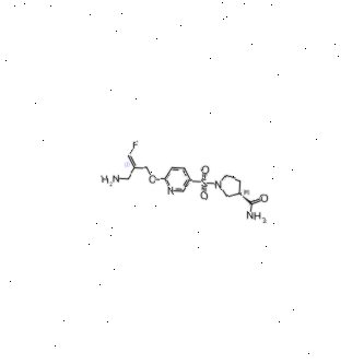 NC/C(=C/F)COc1ccc(S(=O)(=O)N2CC[C@@H](C(N)=O)C2)cn1